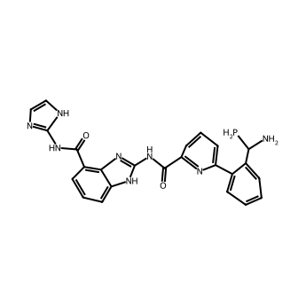 NC(P)c1ccccc1-c1cccc(C(=O)Nc2nc3c(C(=O)Nc4ncc[nH]4)cccc3[nH]2)n1